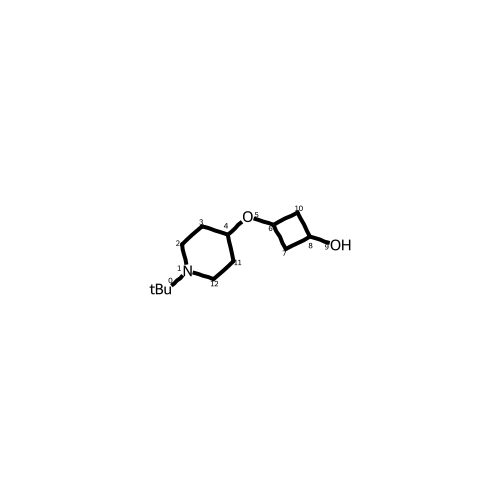 CC(C)(C)N1CCC(OC2CC(O)C2)CC1